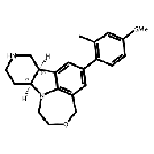 CSc1ccc(-c2cc3c4c(c2)[C@@H]2CNCC[C@@H]2N4CCOC3)c(C)c1